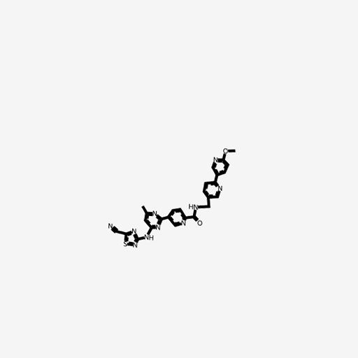 COc1ccc(-c2ccc(CNC(=O)c3ccc(-c4nc(C)cc(Nc5nsc(C#N)n5)n4)cn3)cn2)cn1